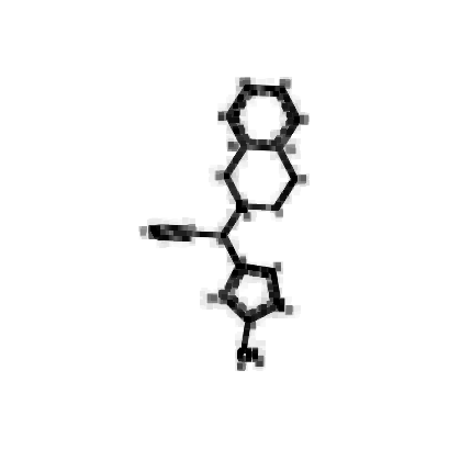 Cc1ncc(C(C#N)N2CCc3ccccc3C2)s1